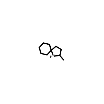 [CH2]C1CCC2(CCCCC2)N1